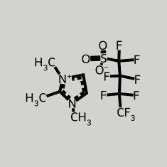 Cc1n(C)cc[n+]1C.O=S(=O)([O-])C(F)(F)C(F)(F)C(F)(F)C(F)(F)F